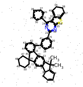 CC1(C)C2=CC=CCC2c2cc3c(cc21)-c1c(-c2cccc(-c4nc(-c5ccccc5)c5c6c(sc5n4)=CCCC=6)c2)cccc1C31CCCCC1